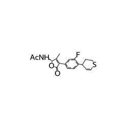 CC(=O)N[C@@H]1OC(=O)C(c2ccc(C3C=CSCC3)c(F)c2)=C1C